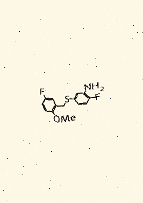 COc1ccc(F)cc1CSc1ccc(F)c(N)c1